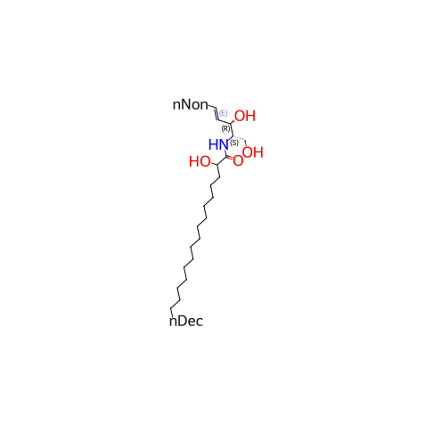 CCCCCCCCC/C=C/[C@@H](O)[C@H](CO)NC(=O)C(O)CCCCCCCCCCCCCCCCCCCCCCCC